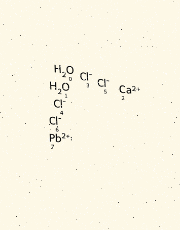 O.O.[Ca+2].[Cl-].[Cl-].[Cl-].[Cl-].[Pb+2]